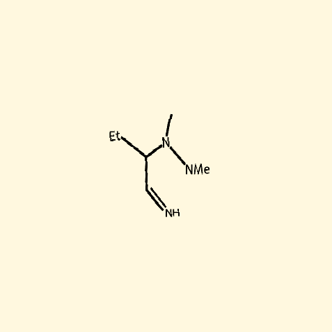 CCC(C=N)N(C)NC